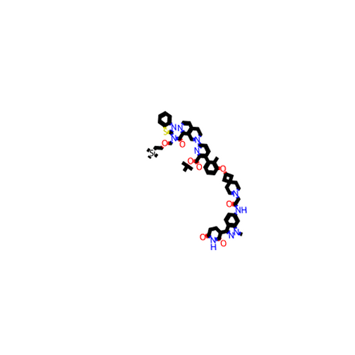 Cc1c(OC2CC3(CCN(CC(=O)Nc4ccc5c(C6CCC(=O)NC6=O)nn(C)c5c4)CC3)C2)cccc1-c1ccc(N2CCc3ccnc(C(=O)N(COCC[Si](C)(C)C)c4nc5ccccc5s4)c3C2)nc1C(=O)OC(C)(C)C